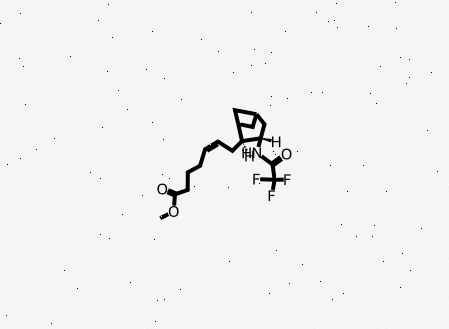 COC(=O)CCC/C=C\C[C@H]1C2CC(C2)C[C@@H]1NC(=O)C(F)(F)F